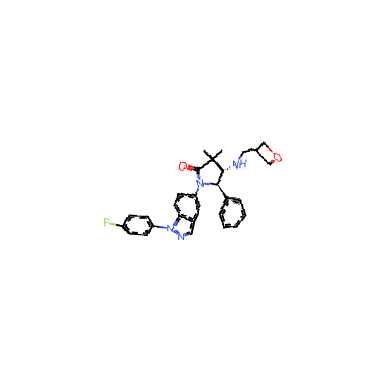 CC1(C)C(=O)N(c2ccc3c(cnn3-c3ccc(F)cc3)c2)[C@H](c2ccccc2)[C@H]1NCC1COC1